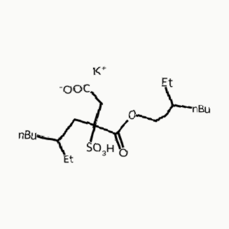 CCCCC(CC)COC(=O)C(CC(=O)[O-])(CC(CC)CCCC)S(=O)(=O)O.[K+]